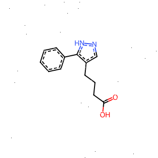 O=C(O)CCCc1cn[nH]c1-c1ccccc1